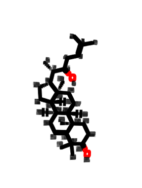 CC(C)=CCC(=O)[C@@H](C)[C@H]1CC[C@H]2[C@@H]3CC=C4C(C)(C)C(=O)CC[C@]4(C)[C@H]3CC[C@]12C